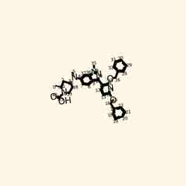 C[C@H]1C[C@H](N(C)c2ccc3c(-c4ccc(OCc5ccccc5)nc4OCc4ccccc4)nn(C)c3c2)CCN1C(=O)O